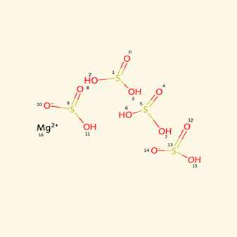 O=S(O)O.O=S(O)O.O=S([O-])O.O=S([O-])O.[Mg+2]